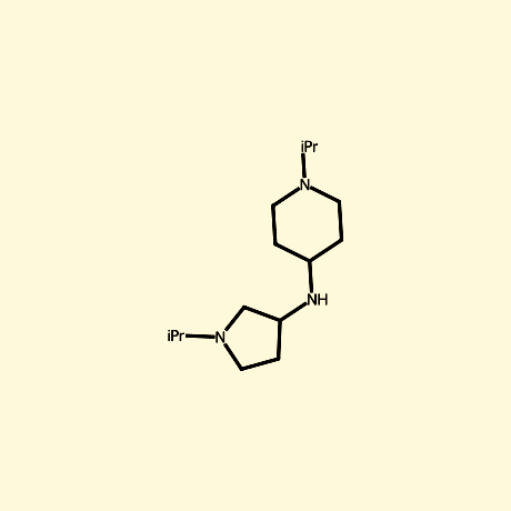 CC(C)N1CCC(NC2CCN(C(C)C)C2)CC1